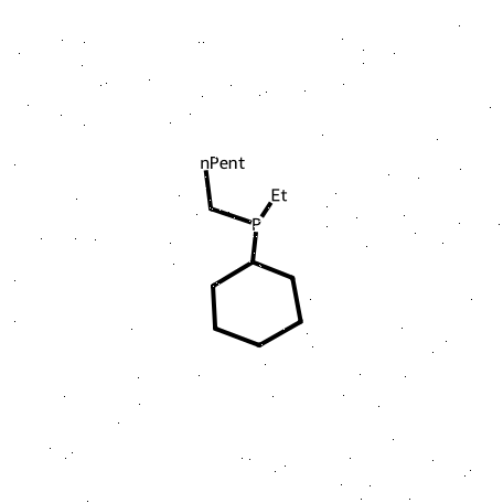 CCCCCCP(CC)C1CCCCC1